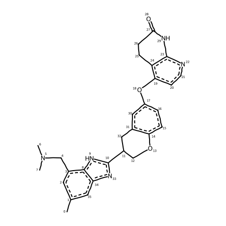 Cc1cc(CN(C)C)c2[nH]c(C3COc4ccc(Oc5ccnc6c5CCC(=O)N6)cc4C3)nc2c1